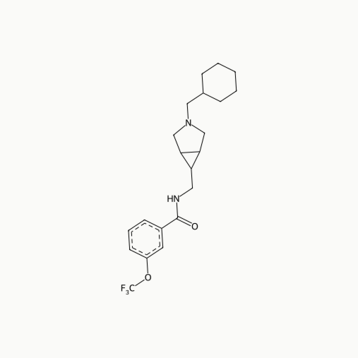 O=C(NCC1C2CN(CC3CCCCC3)CC12)c1cccc(OC(F)(F)F)c1